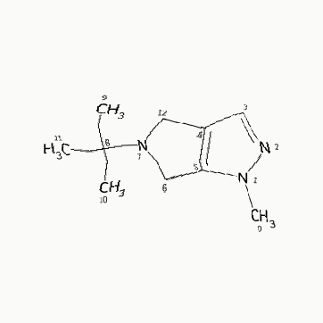 Cn1ncc2c1CN(C(C)(C)C)C2